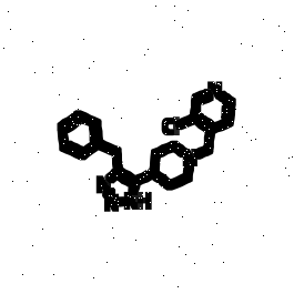 Clc1cnccc1CN1CCC(c2[nH]nnc2Cc2ccccc2)CC1